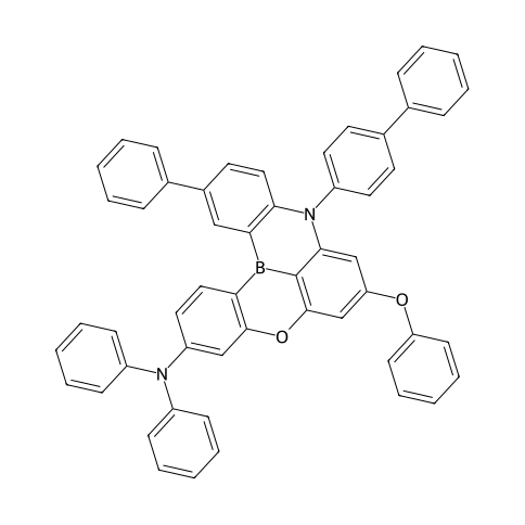 c1ccc(Oc2cc3c4c(c2)N(c2ccc(-c5ccccc5)cc2)c2ccc(-c5ccccc5)cc2B4c2ccc(N(c4ccccc4)c4ccccc4)cc2O3)cc1